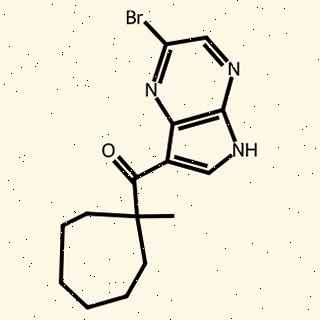 CC1(C(=O)c2c[nH]c3ncc(Br)nc23)CCCCCC1